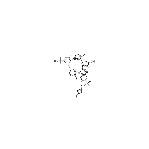 Cc1cc2cc(c1F)[C@H](CC(=O)O)NC(=O)[C@H](n1cc(CCN3CC(F)C3)c(C(F)(F)F)cc1=O)c1cc(ccc1F)Oc1cc(C(C)(C)O)cc(C)c1-2